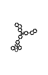 c1ccc2c(c1)Oc1cccc3c4cc(-c5ccc(N(c6ccc(-c7ccc8ccccc8c7)cc6)c6ccc7c(ccc8ccccc87)c6)cc5)ccc4n-2c13